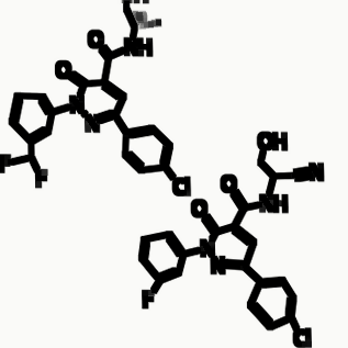 C[C@@H](CO)NC(=O)c1cc(-c2ccc(Cl)cc2)nn(-c2cccc(C(F)F)c2)c1=O.N#CC(CO)NC(=O)c1cc(-c2ccc(Cl)cc2)nn(-c2cccc(F)c2)c1=O